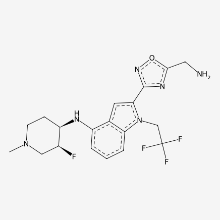 CN1CC[C@@H](Nc2cccc3c2cc(-c2noc(CN)n2)n3CC(F)(F)F)[C@@H](F)C1